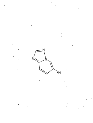 [2H]c1ccc2ncnn2c1